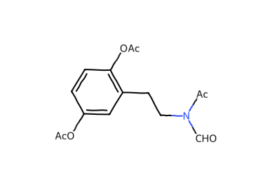 CC(=O)Oc1ccc(OC(C)=O)c(CCN(C=O)C(C)=O)c1